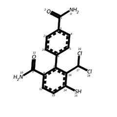 NC(=O)c1ccc(-c2c(C(N)=O)ccc(S)c2C(Cl)Cl)cc1